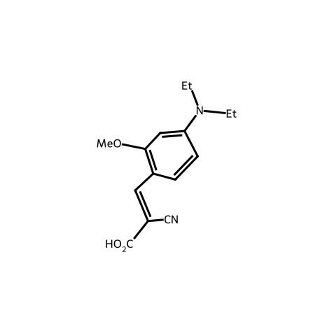 CCN(CC)c1ccc(/C=C(\C#N)C(=O)O)c(OC)c1